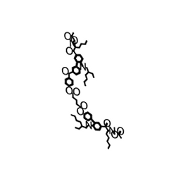 CCCCC/C(=N\OC(C)=O)C(=O)c1ccc2c(c1)c1ccc(OC(=O)CCCC(=O)Oc3ccc(C(=O)c4ccc5c(c4)c4cc(C(=O)/C(CCCC)=N/OC(C)=O)ccc4n5CC(CC)CCCC)cc3)cc1n2CC(CC)CCCC